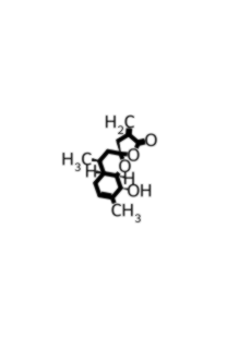 C=C1C[C@@]2(C[C@H](C)[C@H]3CC=C(C)[C@@H](O)[C@@H]3O2)OC1=O